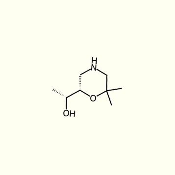 C[C@@H](O)[C@@H]1CNCC(C)(C)O1